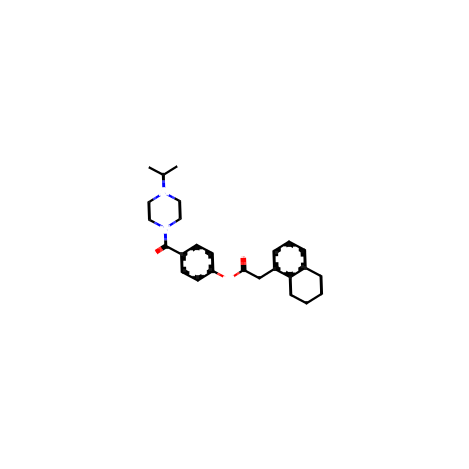 CC(C)N1CCN(C(=O)c2ccc(OC(=O)Cc3cccc4c3CCCC4)cc2)CC1.Cl